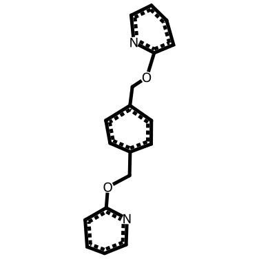 c1ccc(OCc2ccc(COc3ccccn3)cc2)nc1